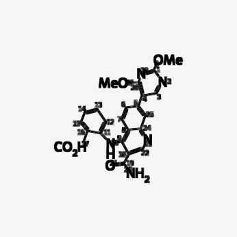 COc1ncc(-c2ccc3c(Nc4ccccc4C(=O)O)c(C(N)=O)cnc3c2)c(OC)n1